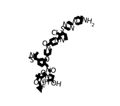 Cc1ncsc1-c1ccc(CNC(=O)[C@@H]2C[C@@H](O)CN2C(=O)[C@@H](NC(=O)C2(F)CC2)C(C)(C)C)c(OC2CCN(C(=O)C3CCN(c4nccc(Sc5cnc(N6CCC(C)(N)CC6)cn5)c4Cl)CC3)CC2)c1